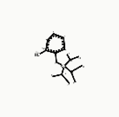 CC(C)[Si](Cc1ccccc1S)(C(C)C)C(C)C